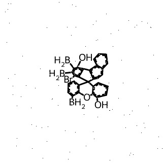 Bc1cccc2c1Oc1c(O)cccc1C21c2ccc3ccccc3c2-c2c(O)c(B)c(B)c(Br)c21